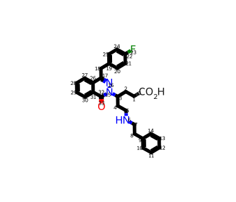 O=C(O)CCC(CCNCCc1ccccc1)n1nc(Cc2ccc(F)cc2)c2ccccc2c1=O